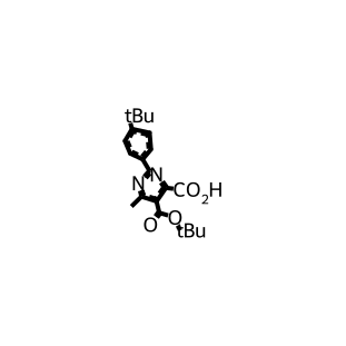 Cc1nc(-c2ccc(C(C)(C)C)cc2)nc(C(=O)O)c1C(=O)OC(C)(C)C